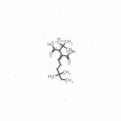 CCC(C)(C)CC/C=C(\C(=O)O)C(C(=O)O)C(C)(C)C